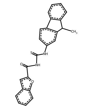 CC1c2ccccc2-c2ccc(NC(=S)NC(=O)c3cc4ccccc4o3)cc21